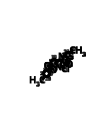 Cc1ccc(S(=O)(=O)n2ccc3c2nc(Cl)n2c(=O)c4sc(C)cc4nc32)cc1